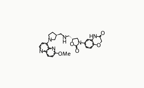 COc1ccc2nccc(N3CC[C@@H](CNC[C@@H]4CN(c5ccc6c(c5)NC(=O)CO6)C(=O)O4)C3)c2n1